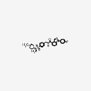 CN1CCC(N(C)S(=O)(=O)c2ccc(CNC(=O)c3cccc4c3cnn4-c3ccc(F)cc3)cc2)CC1